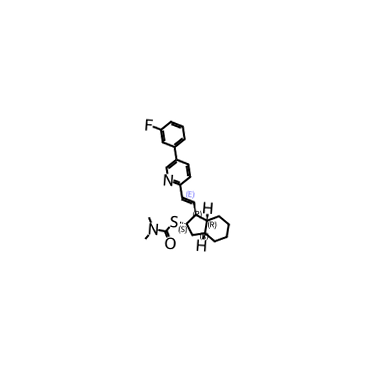 CN(C)C(=O)S[C@H]1C[C@H]2CCCC[C@H]2[C@@H]1/C=C/c1ccc(-c2cccc(F)c2)cn1